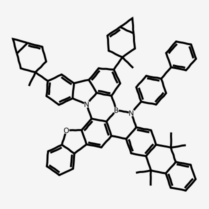 CC1(c2ccc3c(c2)c2cc(C4(C)CC=C5CC5C4)cc4c2n3-c2c3c(cc5c2oc2ccccc25)-c2cc5c(cc2N(c2ccc(-c6ccccc6)cc2)B34)C(C)(C)c2ccccc2C5(C)C)CC=C2CC2C1